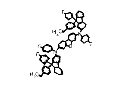 C=Cc1ccc(C2(C3=CCC(F)C=C3)C3=C(CCC(N(C4=CCC(F)C=C4)C4=CC5OC6=C(CCC(N(c7ccc(F)cc7)c7ccc8c(c7)C(c7ccc(F)cc7)(c7ccc(C=C)cc7)C7CCC=CC87)=C6)C5C=C4)=C3)c3ccccc32)cc1